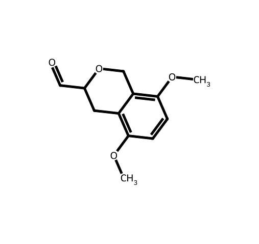 COc1ccc(OC)c2c1COC(C=O)C2